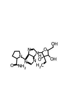 C=C[C@@]1(O)C(O)C(CO)OC1n1cnc2c(N3CCCC3C(N)=O)ncnc21